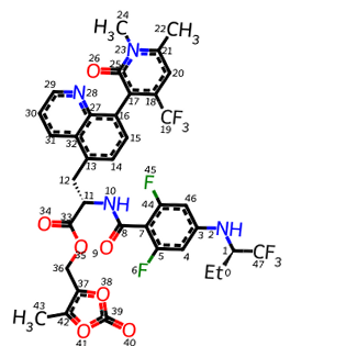 CC[C@@H](Nc1cc(F)c(C(=O)N[C@@H](Cc2ccc(-c3c(C(F)(F)F)cc(C)n(C)c3=O)c3ncccc23)C(=O)OCc2oc(=O)oc2C)c(F)c1)C(F)(F)F